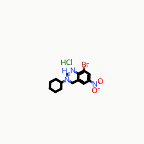 CN(Cc1cc([N+](=O)[O-])cc(Br)c1N)C1CCCCC1.Cl